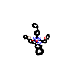 C1=CC2c3cc4ccccc4cc3N(c3ccc4c(oc5ccccc54)c3-c3nc(-c4ccc(-c5ccccc5)cc4)nc(-c4cccc5c4sc4ccccc45)n3)C2C=C1